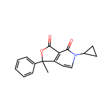 CC1(c2ccccc2)OC(=O)c2c1ccn(C1CC1)c2=O